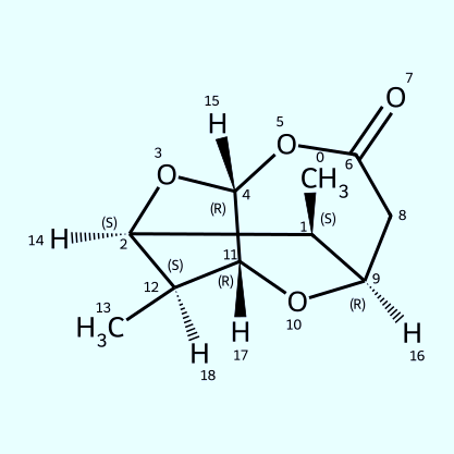 C[C@@H]1[C@@H]2O[C@@H]3OC(=O)C[C@H]1O[C@@H]3[C@H]2C